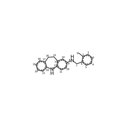 Cc1ccccc1CNc1ccc2c(c1)CCc1ccccc1N2